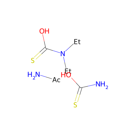 CC(N)=O.CCN(CC)C(O)=S.NC(O)=S